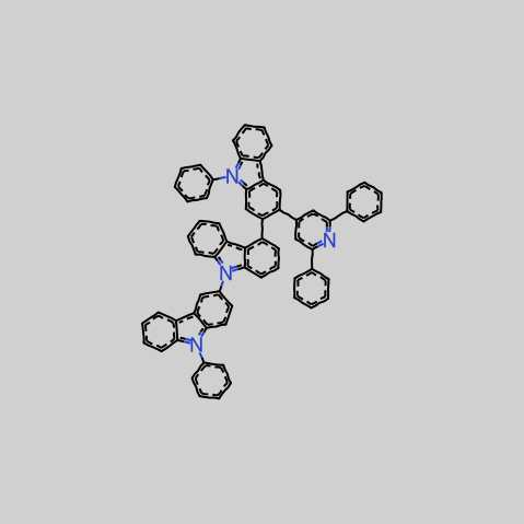 c1ccc(-c2cc(-c3cc4c5ccccc5n(-c5ccccc5)c4cc3-c3cccc4c3c3ccccc3n4-c3ccc4c(c3)c3ccccc3n4-c3ccccc3)cc(-c3ccccc3)n2)cc1